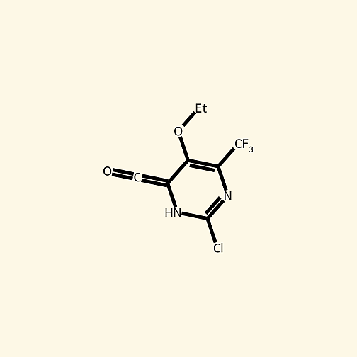 CCOC1=C(C(F)(F)F)N=C(Cl)NC1=C=O